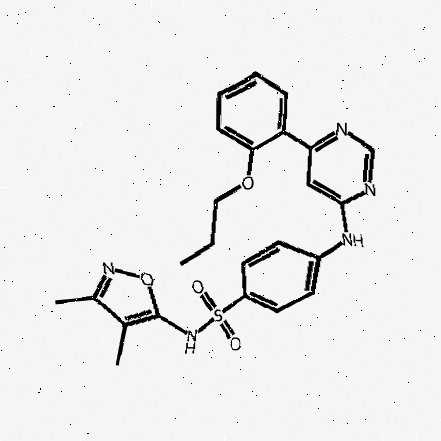 CCCOc1ccccc1-c1cc(Nc2ccc(S(=O)(=O)Nc3onc(C)c3C)cc2)ncn1